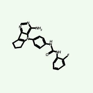 Nc1ncnc2c3c(n(-c4ccc(NC(=O)Nc5ccccc5F)cc4)c12)CCC3